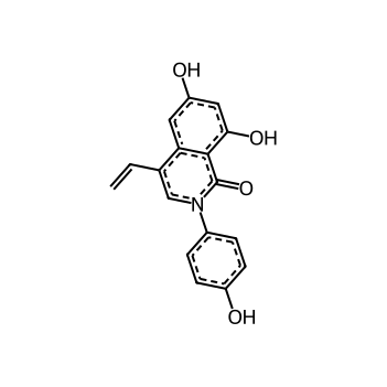 C=Cc1cn(-c2ccc(O)cc2)c(=O)c2c(O)cc(O)cc12